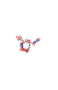 CO[C@H]1C[C@@H](C)C/C(C)=C/[C@@H](CCCC(=O)N2CC(N3CCOCC3)C2)C(=O)C[C@H](O)[C@@H](C)[C@@H](/C(C)=C/[C@@H]2CC[C@@H](O)[C@H](OC)C2)OC(=O)[C@@H]2CCCCN2C(=O)C(=O)[C@]2(O)O[C@H]1[C@@H](OC)C[C@H]2C